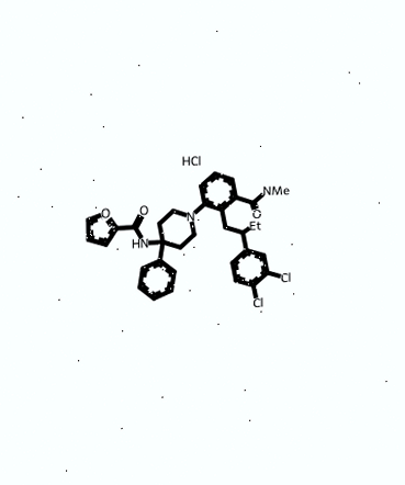 CCC(Cc1c(C(=O)NC)cccc1N1CCC(NC(=O)c2ccco2)(c2ccccc2)CC1)c1ccc(Cl)c(Cl)c1.Cl